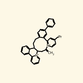 C=C1CC2C(CCc3ccc(-c4ccccc4)cc3-c3cc(C(C)C)cc[n+]31)c1ccccc1-c1cccc[n+]12